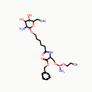 CC(=O)OCC1O[C@@H](OCCCCCC(=O)NC(COP(N)OCCC#N)C(=O)OCc2ccccc2)C(N)C(O)[C@H]1O